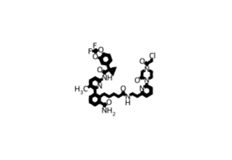 Cc1ccc(NC(=O)C2(c3ccc4c(c3)OC(F)(F)O4)CC2)nc1-c1cccc(C(N)=O)c1CCCCC(=O)NCCc1cccc(N2CCN(C(=O)CCl)CC2=O)n1